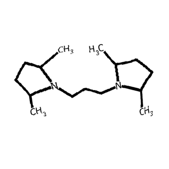 CC1CCC(C)N1CCCN1C(C)CCC1C